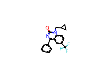 O=c1nc(-c2ccccc2)c2cc(C(F)(F)F)ccc2n1CC1CC1